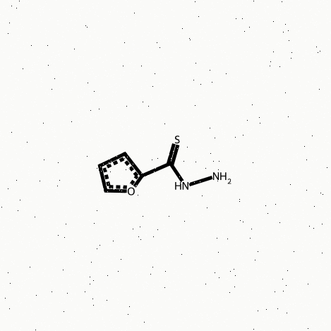 NNC(=S)c1ccco1